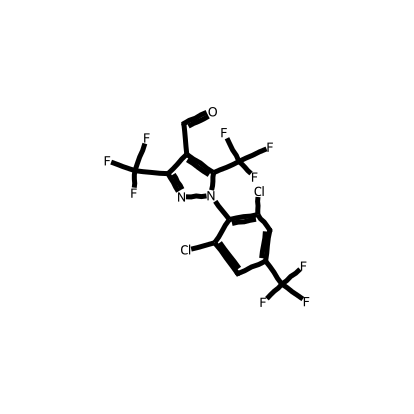 O=Cc1c(C(F)(F)F)nn(-c2c(Cl)cc(C(F)(F)F)cc2Cl)c1C(F)(F)F